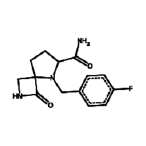 NC(=O)C1CCC2(CNC2=O)N1Cc1ccc(F)cc1